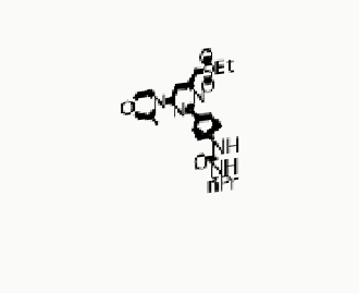 CCCNC(=O)Nc1ccc(-c2nc(CS(=O)(=O)CC)cc(N3CCOC[C@@H]3C)n2)cc1